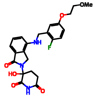 COCCOc1ccc(F)c(CNc2cccc3c2CN(C2(O)CCC(=O)NC2=O)C3=O)c1